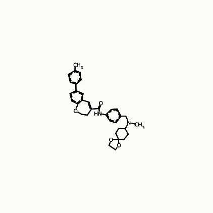 Cc1ccc(-c2ccc3c(c2)C=C(C(=O)Nc2ccc(CN(C)C4CCC5(CC4)OCCO5)cc2)CCO3)cc1